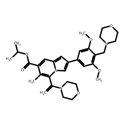 C=C(c1c(C)c(C(=O)OC(C)C)cc2cc(-c3cc(OC)c(CN4CCOCC4)c(OC)c3)cn12)N1CCOCC1